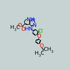 COC(=O)C1=Cc2c(ncnc2Nc2ccc(Oc3cccc(OCC(C)C)c3)c(Cl)c2)NCC1